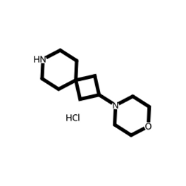 C1CC2(CCN1)CC(N1CCOCC1)C2.Cl